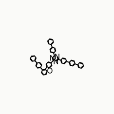 c1ccc(-c2ccc(-c3ccc(-c4nc(-c5ccc(-c6ccccc6)cc5)nc(-c5ccc6c(c5)oc5cccc(-c7ccc(-c8ccccc8)cc7)c56)n4)cc3)cc2)cc1